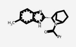 Cc1ccc2nc([C@@H]3C4CCC(C4)N3C(=O)C(C)C)[nH]c2c1